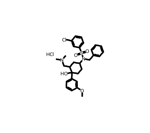 COc1cccc(C2(O)CCC(N(Cc3ccccc3)S(=O)(=O)c3cccc(Cl)c3)CC2CN(C)C)c1.Cl